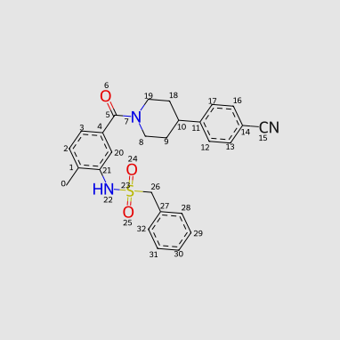 Cc1ccc(C(=O)N2CCC(c3ccc(C#N)cc3)CC2)cc1NS(=O)(=O)Cc1ccccc1